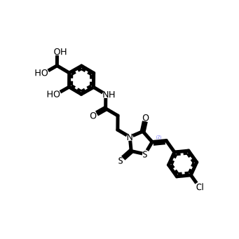 O=C(CCN1C(=O)/C(=C/c2ccc(Cl)cc2)SC1=S)Nc1ccc(C(O)O)c(O)c1